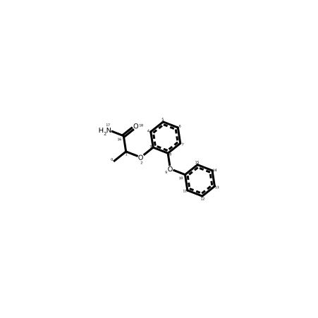 CC(Oc1ccccc1Oc1ccccc1)C(N)=O